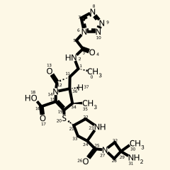 C[C@@H](NC(=O)Cn1cnnn1)[C@H]1C(=O)N2C(C(=O)O)=C(S[C@@H]3CNC(C(=O)N4CC(C)(N)C4)C3)[C@H](C)[C@H]12